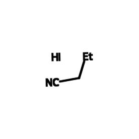 CCCC#N.I